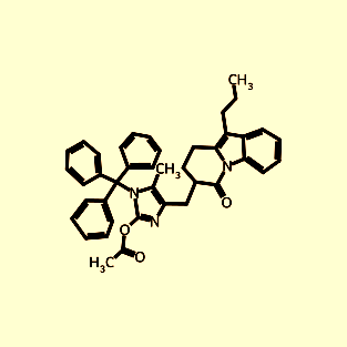 CCCc1c2n(c3ccccc13)C(=O)C(Cc1nc(OC(C)=O)n(C(c3ccccc3)(c3ccccc3)c3ccccc3)c1C)CC2